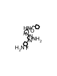 C[C@@H]1CC[C@H](NC(=O)Cc2ccccc2)CN1c1cc(-c2ccc(N)c(F)c2)nc(N)n1